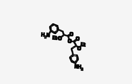 CCOC(Cc1ccc(N)cc1)C(=O)OC(=O)C(Cc1cccc(N)c1)OCC